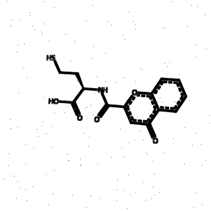 O=C(N[C@H](CCS)C(=O)O)c1cc(=O)c2ccccc2o1